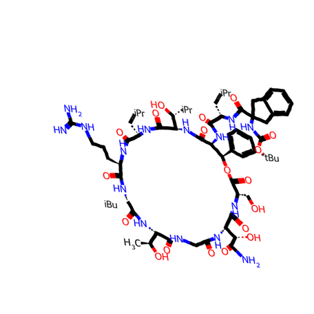 CC[C@H](C)[C@@H]1NC(=O)[C@@H](CCCNC(=N)N)NC(=O)[C@H](CC(C)C)NC(=O)[C@H]([C@H](O)C(C)C)NC(=O)[C@@H](NC(=O)[C@H](CC(C)C)NC(=O)C2(NC(=O)OC(C)(C)C)Cc3ccccc3C2)[C@@H](c2ccccc2)OC(=O)[C@H](CO)NC(=O)[C@H]([C@H](O)C(N)=O)NC(=O)CNC(=O)[C@H]([C@H](C)O)NC1=O